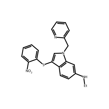 CCNc1ccc2c(Sc3ccccc3[N+](=O)[O-])cn(Cc3ccccn3)c2c1